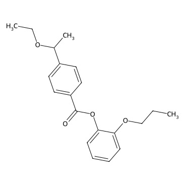 CCCOc1ccccc1OC(=O)c1ccc(C(C)OCC)cc1